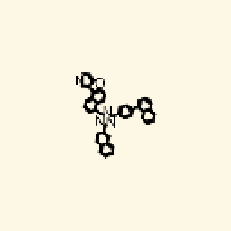 c1ccc2cc(-c3nc(-c4ccc(-c5cccc6ccccc56)cc4)nc(-c4cccc5c4ccc4oc6ccncc6c45)n3)ccc2c1